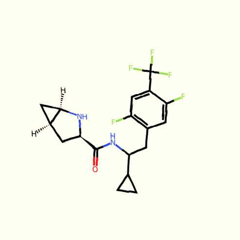 O=C(NC(Cc1cc(F)c(C(F)(F)F)cc1F)C1CC1)[C@H]1C[C@H]2C[C@H]2N1